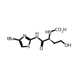 CC(C)(C)c1csc(NC(=O)[C@H](CCO)NC(=O)O)n1